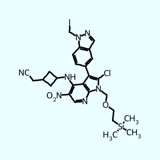 C[Si](C)(C)CCOCn1c(Cl)c(-c2ccc3c(cnn3CI)c2)c2c(NC3CC(CC#N)C3)c([N+](=O)[O-])cnc21